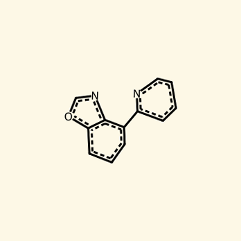 c1ccc(-c2cccc3ocnc23)nc1